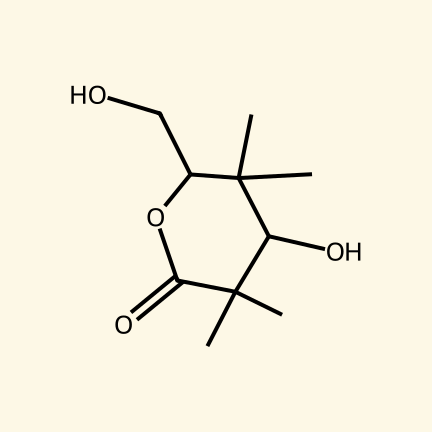 CC1(C)C(=O)OC(CO)C(C)(C)C1O